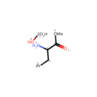 COC(=O)C(N)CC(C)C.O=S(=O)(O)O